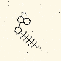 Nc1ccc(-c2ccnc(C(F)(F)C(F)(F)C(F)(F)C(F)(F)C(F)(F)C(F)(F)F)c2)c2ccccc12